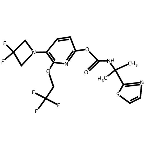 CC(C)(NC(=O)Oc1ccc(N2CC(F)(F)C2)c(OCC(F)(F)F)n1)c1nccs1